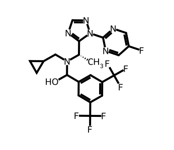 C[C@@H](c1ncnn1-c1ncc(F)cn1)N(CC1CC1)C(O)c1cc(C(F)(F)F)cc(C(F)(F)F)c1